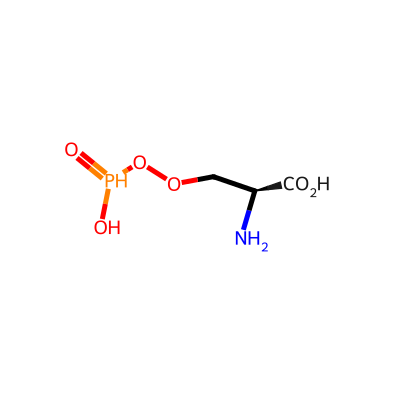 N[C@@H](COO[PH](=O)O)C(=O)O